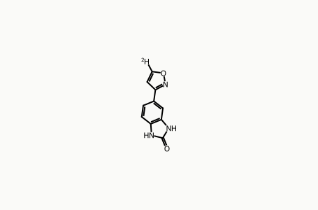 [2H]c1cc(-c2ccc3[nH]c(=O)[nH]c3c2)no1